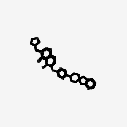 O=c1c2c(Cl)c(Sc3cnc(N4CCC5(CC4)Cc4cccnc4C5)cn3)ccc2ncn1CC1CCOC1